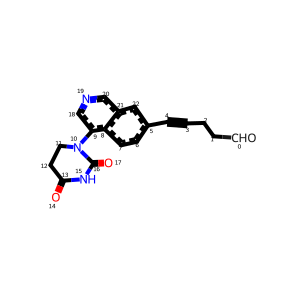 O=CCCC#Cc1ccc2c(N3CCC(=O)NC3=O)cncc2c1